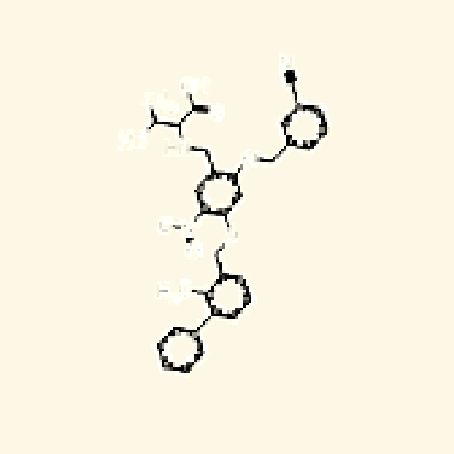 Cc1c(COc2cc(OCc3cccc(C#N)c3)c(CNC(C(=O)O)C(C)O)cc2[N+](=O)[O-])cccc1-c1ccccc1